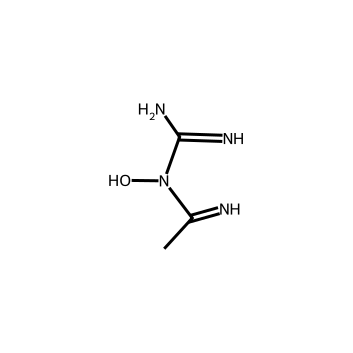 CC(=N)N(O)C(=N)N